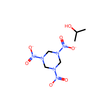 CC(C)O.O=[N+]([O-])N1CN([N+](=O)[O-])CN([N+](=O)[O-])C1